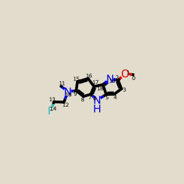 COc1ccc2[nH]c3cc(N(C)CCF)ccc3c2n1